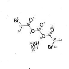 CC(Br)C(=O)OC(=O)OC(=O)C(C)Br.[KH].[KH]